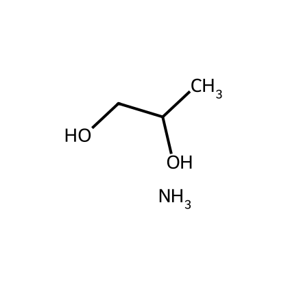 CC(O)CO.N